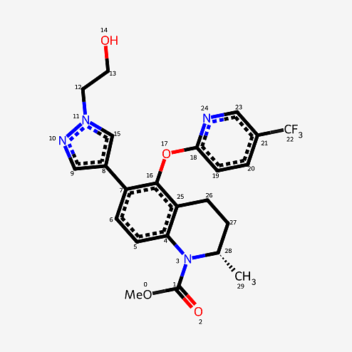 COC(=O)N1c2ccc(-c3cnn(CCO)c3)c(Oc3ccc(C(F)(F)F)cn3)c2CC[C@@H]1C